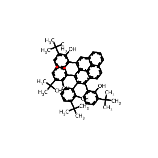 CC(C)(C)c1cccc(-c2c(-c3cccc(C(C)(C)C)c3O)c3ccc4cccc5cc(-c6cccc(C(C)(C)C)c6O)c(c2-c2cccc(C(C)(C)C)c2O)c3c45)c1O